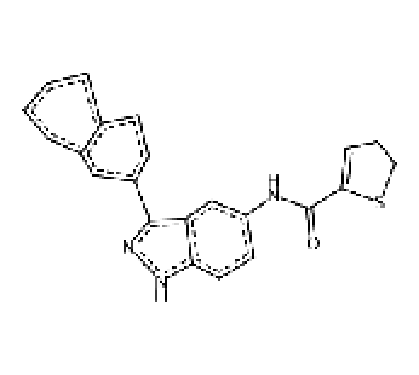 O=C(Nc1ccc2[nH]nc(-c3ccc4ccccc4c3)c2c1)C1=CCCS1